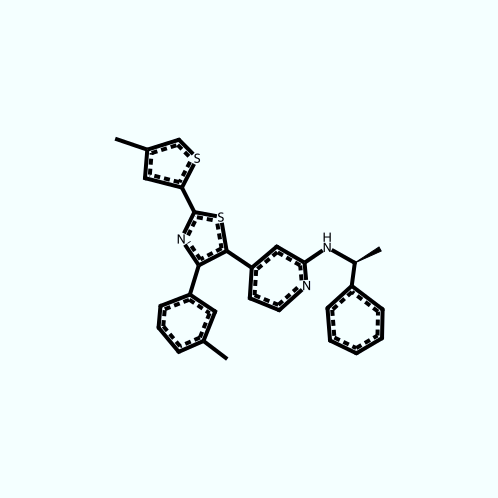 Cc1cccc(-c2nc(-c3cc(C)cs3)sc2-c2ccnc(N[C@@H](C)c3ccccc3)c2)c1